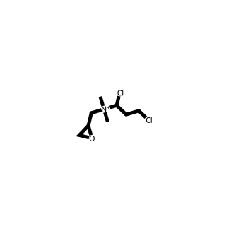 C[N+](C)(CC1CO1)C(Cl)CCCl